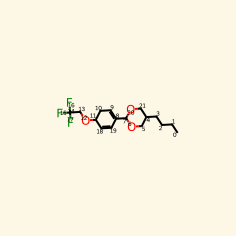 CCCCC1COC(C2=CCC(OCC(F)(F)F)C=C2)OC1